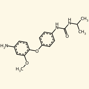 COc1cc(N)ccc1Oc1ccc(NC(=O)NC(C)C)cc1